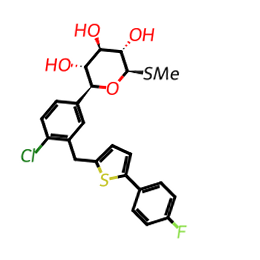 CS[C@H]1O[C@@H](c2ccc(Cl)c(Cc3ccc(-c4ccc(F)cc4)s3)c2)[C@H](O)[C@@H](O)[C@@H]1O